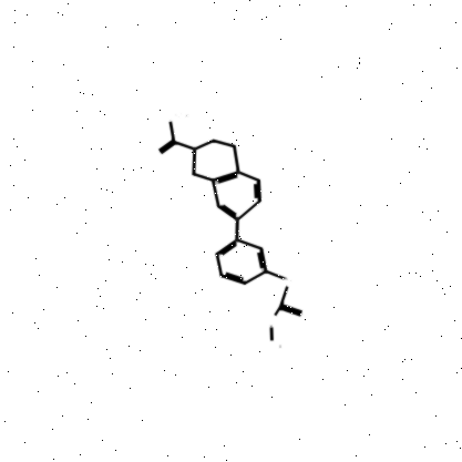 COC(=O)C1CCc2ccc(-c3cccc(NC(=O)OC(C)(C)C)c3)cc2C1